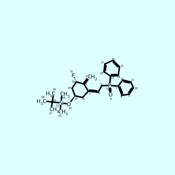 C=C1/C(=C\CP(=O)(c2ccccc2)c2ccccc2)C[C@@H](O[Si](C)(C)C(C)(C)C)C[C@@H]1F